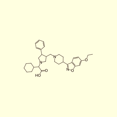 CCOc1ccc2c(C3CCN(CC4CN(C(C(=O)O)C5CCCCC5)CC4c4ccccc4)CC3)noc2c1